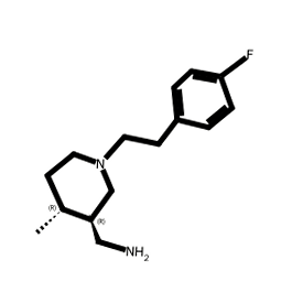 C[C@@H]1CCN(CCc2ccc(F)cc2)C[C@H]1CN